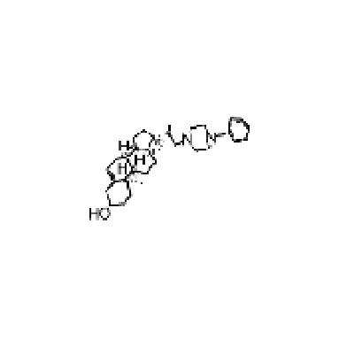 CC(CN1CCN(c2ccccc2)CC1)[C@H]1CC[C@H]2[C@@H]3CC=C4CC(O)CC[C@]4(C)[C@H]3CC[C@]12C